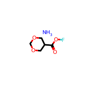 N.O=C(OF)C1COCOC1